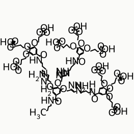 CCCCNC(=O)c1cc(OC/C(N)=C/N(N)CCCNC(=O)c2cc(OCCCS(=O)(=O)O)c(OCCCS(=O)(=O)O)c(OCCCS(=O)(=O)O)c2)c(OC/C(=C/NCCCNC(=O)c2cc(OCCCS(=O)(=O)O)c(OCCCS(=O)(=O)O)c(OCCCS(=O)(=O)O)c2)N=N)c(OC/C(N)=C/N(N)CCCNC(=O)c2cc(OCCCS(=O)(=O)O)c(OCCCS(=O)(=O)O)c(OCCCS(=O)(=O)O)c2)c1